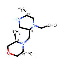 C[C@@H]1CN(CC=O)[C@@H](CN2[C@H](C)COC[C@H]2C)CN1